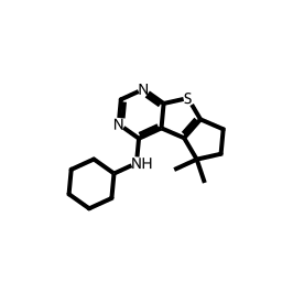 CC1(C)CCc2sc3ncnc(NC4CCCCC4)c3c21